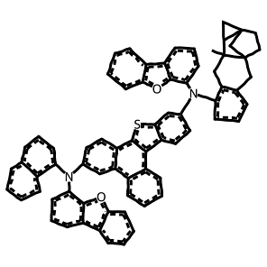 CC12Cc3c(cccc3N(c3ccc4c(c3)sc3c5ccc(N(c6cccc7ccccc67)c6cccc7c6oc6ccccc67)cc5c5ccccc5c43)c3cccc4c3oc3ccccc34)CC13CCC1(CC12)C3